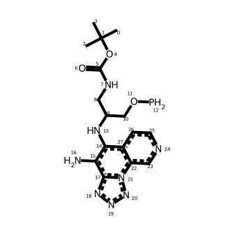 CC(C)(C)OC(=O)NCC(COP)Nc1c(N)c2nnnn2c2cnccc12